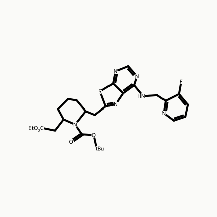 CCOC(=O)CC1CCCC(Cc2nc3c(NCc4ncccc4F)ncnc3s2)N1C(=O)OC(C)(C)C